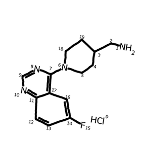 Cl.NCC1CCN(c2ncnc3ccc(F)cc23)CC1